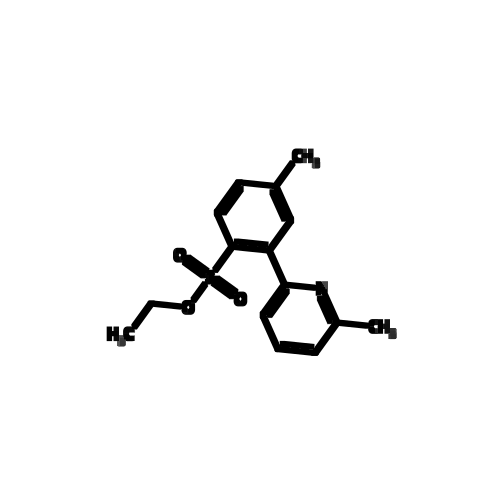 CCOS(=O)(=O)c1ccc(C)cc1-c1cccc(C)n1